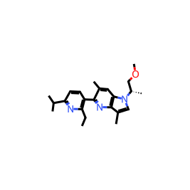 CCc1nc(C(C)C)ccc1-c1nc2c(C)cn([C@@H](C)COC)c2cc1C